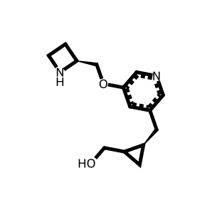 OCC1C[C@@H]1Cc1cncc(OC[C@@H]2CCN2)c1